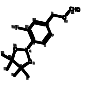 CC1(C)OB(c2ccc(COC=O)cc2F)OC1(C)C